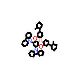 Cc1ccccc1-c1ccc2c(c1)Oc1c(-n3c4ccccc4c4ccccc43)cc(-n3c4ccccc4c4ccccc43)c3c1B2c1ccc(-c2ccccc2C)cc1O3